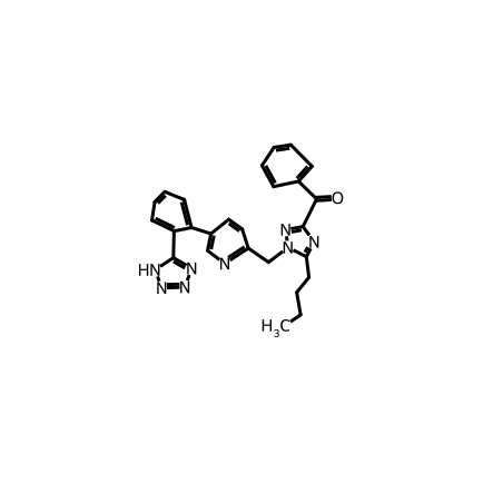 CCCCc1nc(C(=O)c2ccccc2)nn1Cc1ccc(-c2ccccc2-c2nnn[nH]2)cn1